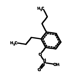 CCCc1cccc(O[PH](=O)O)c1CCC